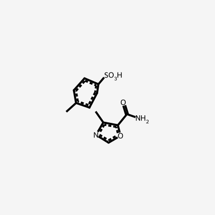 Cc1ccc(S(=O)(=O)O)cc1.Cc1ncoc1C(N)=O